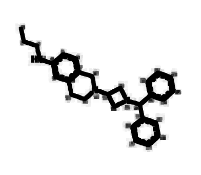 CCCNc1ccc2c(c1)CCN(C1CN(C(c3ccccc3)c3ccccc3)C1)C2